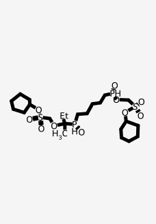 CCC(C)(OCS(=O)(=O)OC1CCCCC1)[PH](=O)CCCCC[PH](=O)OCS(=O)(=O)OC1CCCCC1